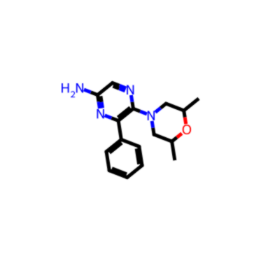 CC1CN(c2ncc(N)nc2-c2ccccc2)CC(C)O1